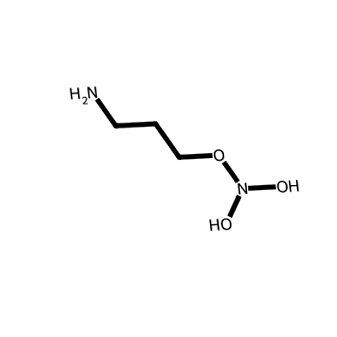 NCCCON(O)O